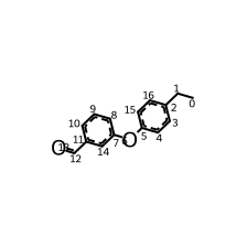 CCc1ccc(Oc2cccc(C=O)c2)cc1